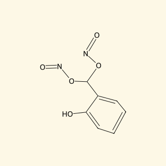 O=NOC(ON=O)c1ccccc1O